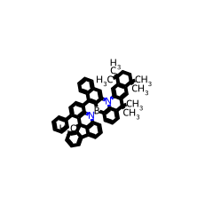 CC1(C)CCC(C)(C)c2cc3c(cc21)N1c2cc4ccccc4c4c2B(c2cccc(c21)C3(C)C)N1c2cccc3c2C(C)(c2ccccc2-3)c2c(-c3ccccc3)ccc-4c21